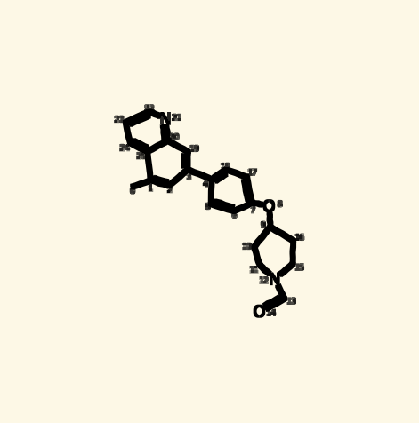 Cc1cc(-c2ccc(OC3CCN(C=O)CC3)cc2)cc2ncccc12